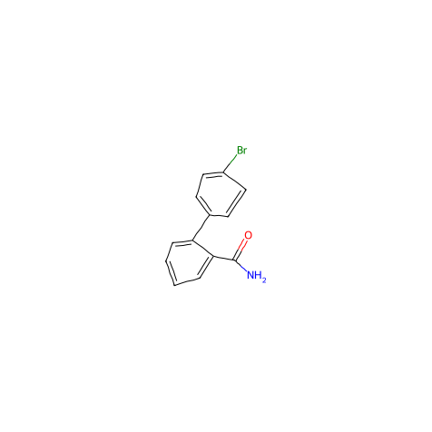 NC(=O)c1ccccc1-c1ccc(Br)cc1